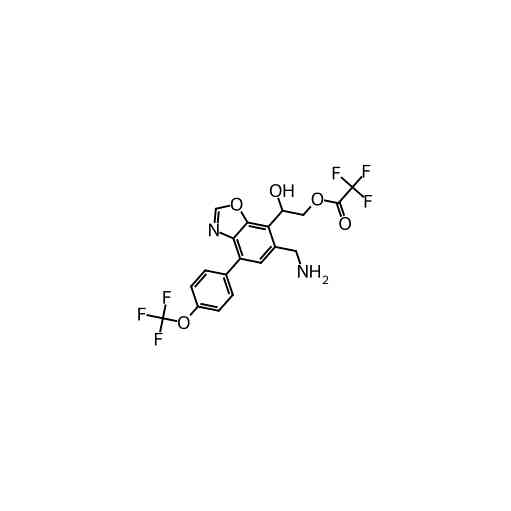 NCc1cc(-c2ccc(OC(F)(F)F)cc2)c2ncoc2c1C(O)COC(=O)C(F)(F)F